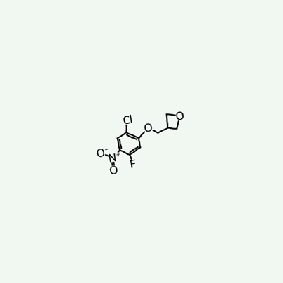 O=[N+]([O-])c1cc(Cl)c(OCC2COC2)cc1F